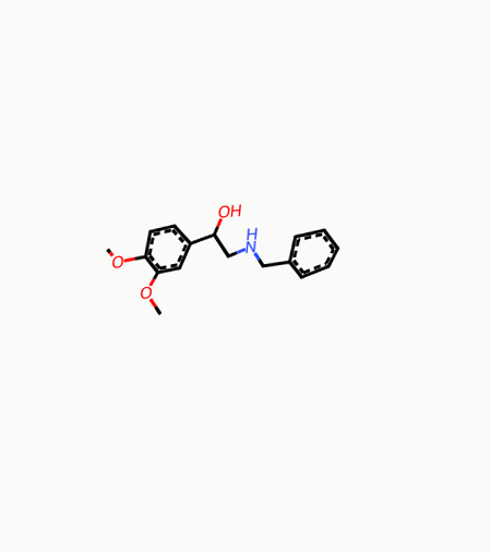 COc1ccc(C(O)CNCc2ccccc2)cc1OC